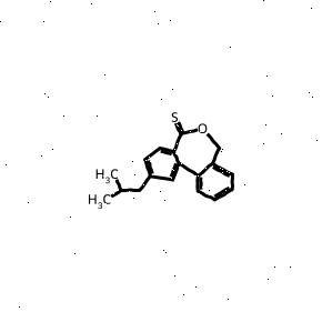 CC(C)Cc1ccc2c(c1)-c1ccccc1COC2=S